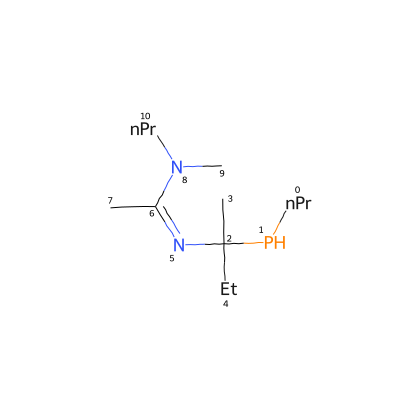 CCCPC(C)(CC)N=C(C)N(C)CCC